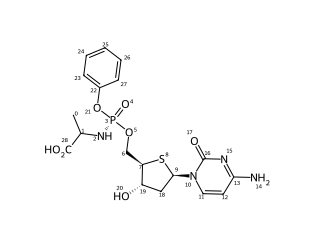 CC(N[P@](=O)(OC[C@H]1S[C@@H](n2ccc(N)nc2=O)C[C@@H]1O)Oc1ccccc1)C(=O)O